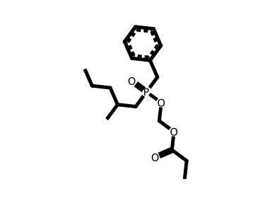 CCCC(C)CP(=O)(Cc1ccccc1)OCOC(=O)CC